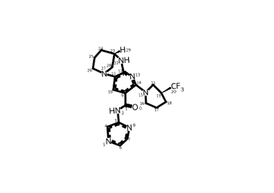 O=C(Nc1cnccn1)c1cc2c(nc1N1CCC[C@H](C(F)(F)F)C1)N[C@H]1CCCN2C1